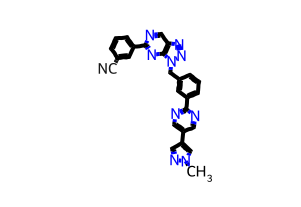 Cn1cc(-c2cnc(-c3cccc(Cn4nnc5cnc(-c6cccc(C#N)c6)nc54)c3)nc2)cn1